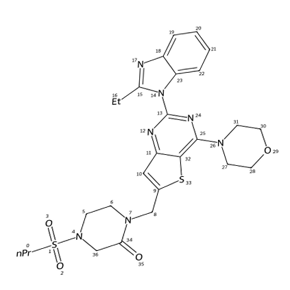 CCCS(=O)(=O)N1CCN(Cc2cc3nc(-n4c(CC)nc5ccccc54)nc(N4CCOCC4)c3s2)C(=O)C1